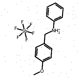 COc1ccc(C[NH2+]c2ccccc2)cc1.[F][Sb-]([F])([F])([F])([F])[F]